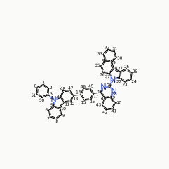 c1ccc(-n2c3ccccc3c3cc(-c4ccc(-c5nc(-n6c7ccccc7c7c8ccccc8ccc76)nc6ccccc56)cc4)ccc32)cc1